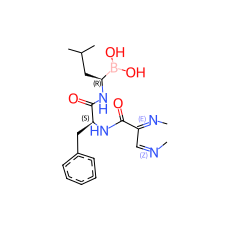 C/N=C\C(=N/C)C(=O)N[C@@H](Cc1ccccc1)C(=O)N[C@@H](CC(C)C)B(O)O